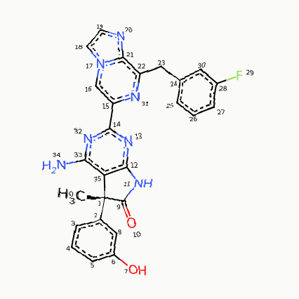 C[C@]1(c2cccc(O)c2)C(=O)Nc2nc(-c3cn4ccnc4c(Cc4cccc(F)c4)n3)nc(N)c21